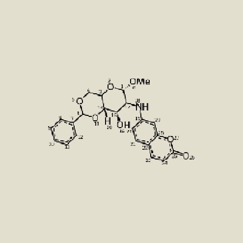 CO[C@H]1OC2COC(c3ccccc3)O[C@H]2[C@H](O)C1Nc1ccc2ccc(=O)oc2c1